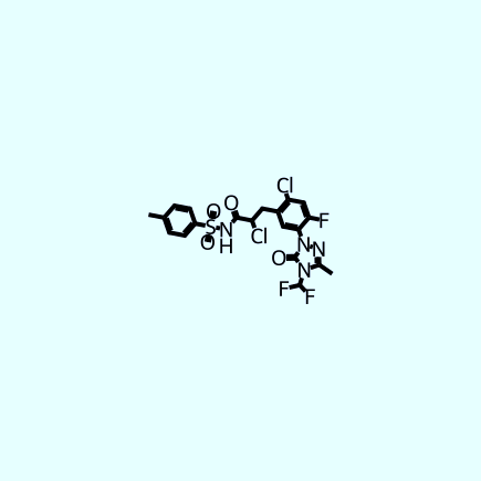 Cc1ccc(S(=O)(=O)NC(=O)C(Cl)Cc2cc(-n3nc(C)n(C(F)F)c3=O)c(F)cc2Cl)cc1